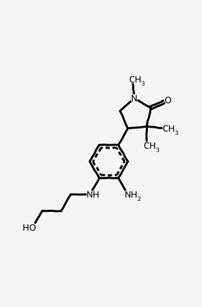 CN1CC(c2ccc(NCCCO)c(N)c2)C(C)(C)C1=O